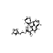 O=C(NCCCn1ccnc1)c1ccc2cncc(-c3ccccc3)c2n1